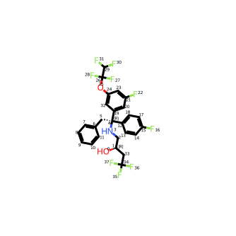 O[C@@H](CN[C@](Cc1ccccc1)(c1ccc(F)cc1)c1cc(F)cc(OC(F)(F)C(F)F)c1)CC(F)(F)F